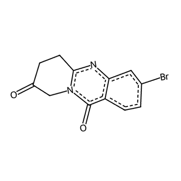 O=C1CCc2nc3cc(Br)ccc3c(=O)n2C1